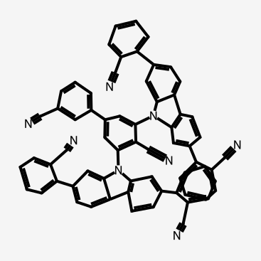 N#Cc1cccc(-c2cc(-n3c4cc(-c5ccccc5C#N)ccc4c4ccc(-c5ccccc5C#N)cc43)c(C#N)c(-n3c4cc(-c5ccccc5C#N)ccc4c4ccc(-c5ccccc5C#N)cc43)c2)c1